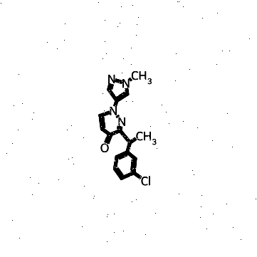 CC(c1cccc(Cl)c1)c1nn(-c2cnn(C)c2)ccc1=O